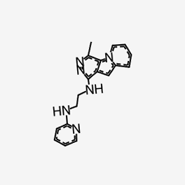 Cc1nnc(NCCNc2ccccn2)c2cc3ccccn3c12